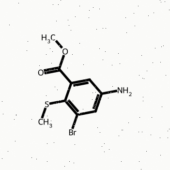 COC(=O)c1cc(N)cc(Br)c1SC